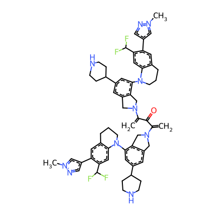 C=C(C(=O)C(=C)N1Cc2cc(C3CCNCC3)cc(N3CCCc4cc(-c5cnn(C)c5)c(C(F)F)cc43)c2C1)N1Cc2cc(C3CCNCC3)cc(N3CCCc4cc(-c5cnn(C)c5)c(C(F)F)cc43)c2C1